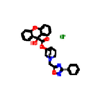 O=C(OC1C[N+]2(Cc3nc(-c4ccccc4)no3)CCC1CC2)C1(O)c2ccccc2Oc2ccccc21.[Cl-]